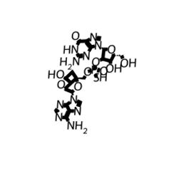 Nc1nc2c(ncn2[C@@H]2O[C@H](CO)C(O)C2OP(=O)(S)OC[C@]23C[C@@]4(O)OC(C24)[C@H](n2cnc4c(N)ncnc42)O3)c(=O)[nH]1